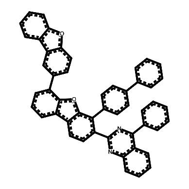 c1ccc(-c2ccc(-c3c(-c4nc(-c5ccccc5)c5ccccc5n4)ccc4c3oc3c(-c5ccc6oc7ccccc7c6c5)cccc34)cc2)cc1